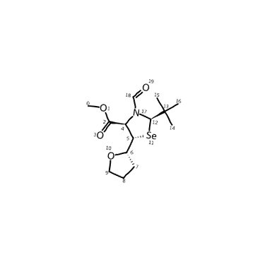 COC(=O)[C@@H]1[C@@H]([C@@H]2CCCO2)[Se][C@H](C(C)(C)C)N1C=O